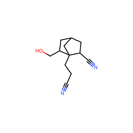 N#CCCC12CC(CC1C#N)CC2CO